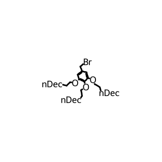 CCCCCCCCCCCCOc1cc(CBr)cc(OCCCCCCCCCCCC)c1OCCCCCCCCCCCC